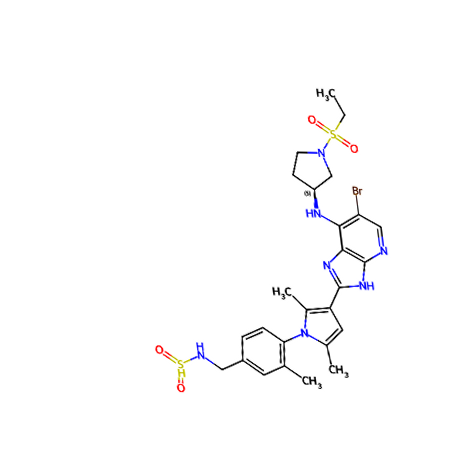 CCS(=O)(=O)N1CC[C@H](Nc2c(Br)cnc3[nH]c(-c4cc(C)n(-c5ccc(CN[SH](=O)=O)cc5C)c4C)nc23)C1